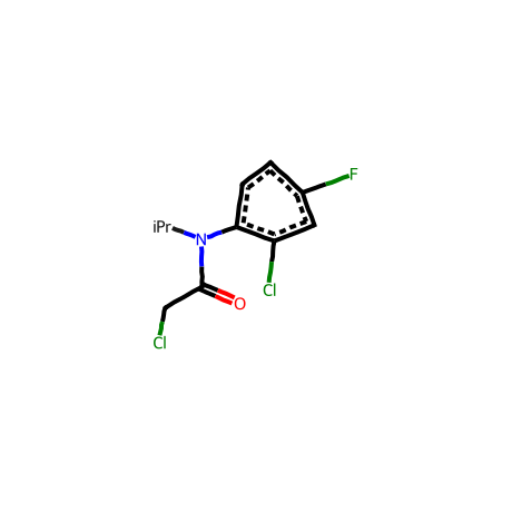 CC(C)N(C(=O)CCl)c1ccc(F)cc1Cl